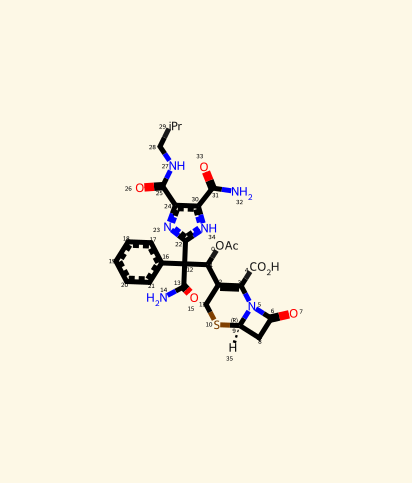 CC(=O)OC(C1=C(C(=O)O)N2C(=O)C[C@H]2SC1)C(C(N)=O)(c1ccccc1)c1nc(C(=O)NCC(C)C)c(C(N)=O)[nH]1